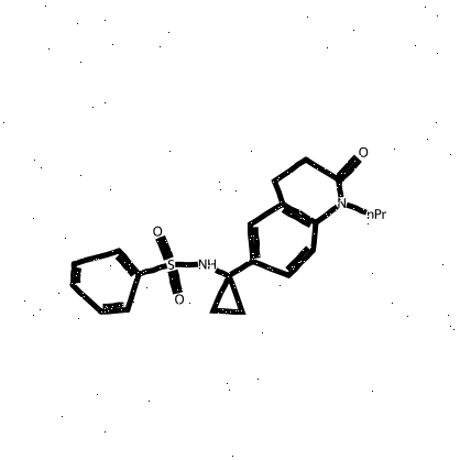 CCCN1C(=O)CCc2cc(C3(NS(=O)(=O)c4ccccc4)CC3)ccc21